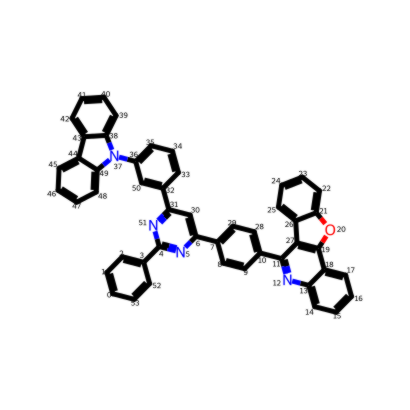 c1ccc(-c2nc(-c3ccc(-c4nc5ccccc5c5oc6ccccc6c45)cc3)cc(-c3cccc(-n4c5ccccc5c5ccccc54)c3)n2)cc1